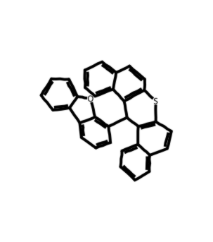 c1ccc2c3c(ccc2c1)Sc1ccc2ccccc2c1C3c1cccc2c1oc1ccccc12